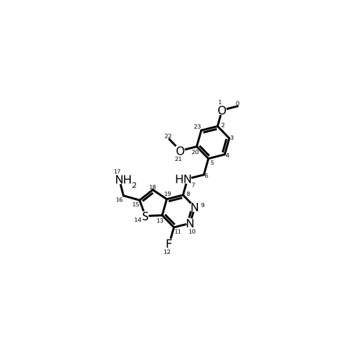 COc1ccc(CNc2nnc(F)c3sc(CN)cc23)c(OC)c1